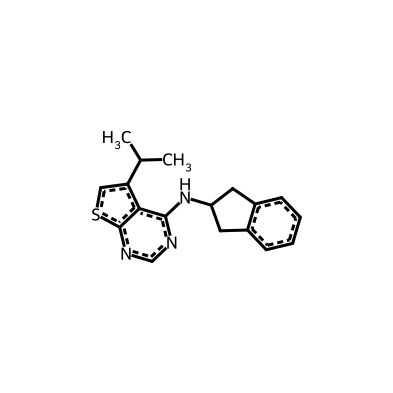 CC(C)c1csc2ncnc(NC3Cc4ccccc4C3)c12